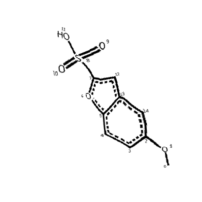 COc1ccc2oc(S(=O)(=O)O)cc2c1